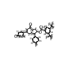 C[C@@H](OC1CN2C(=O)C=C(c3ccc(=O)[nH]c3)CC2[C@@H]1c1ccc(F)cc1)c1cc(C(F)(F)F)cc(C(F)(F)F)c1